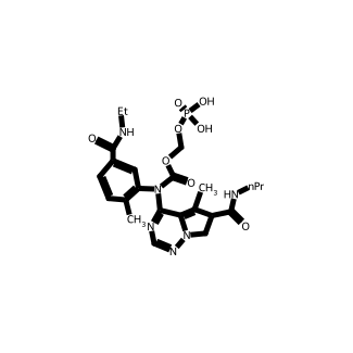 CCCNC(=O)C1CN2N=CN=C(N(C(=O)OCOP(=O)(O)O)c3cc(C(=O)NCC)ccc3C)C2=C1C